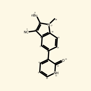 CCCCc1c(C#N)c2cc(-c3ccc[nH]c3=O)ccc2n1C